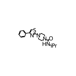 CC(C)NC(=O)N1CCN(c2nc(-c3ccccc3)cs2)CC1